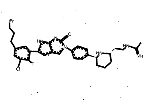 CC(=N)NCC[C@@H]1CCC[C@@H](c2ccc(-n3cc4cc(-c5cc(CCCC(C)C)cc(Cl)c5F)[nH]c4nc3=O)cc2)N1